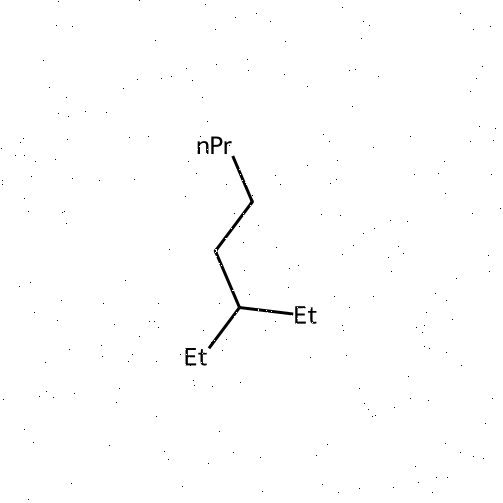 [CH2]CCCCC(CC)CC